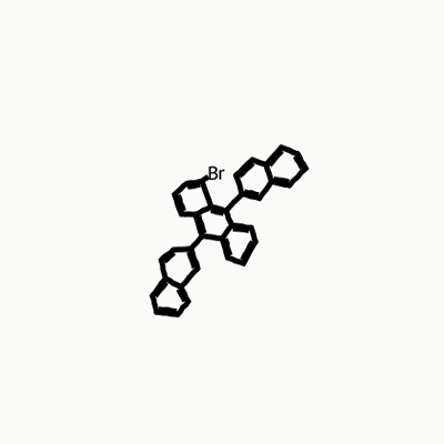 Brc1cccc2c(-c3ccc4ccccc4c3)c3ccccc3c(-c3ccc4ccccc4c3)c12